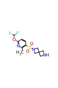 Cc1nc(OC(F)F)ccc1S(=O)(=O)N1CC2(CNC2)C1